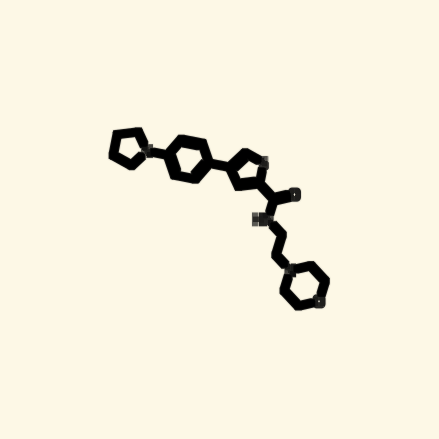 O=C(NCCN1CCOCC1)c1cc(-c2ccc(N3CCCC3)cc2)cs1